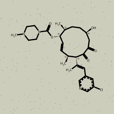 C/C(=C\c1cncc(Cl)c1)[C@H]1C(=O)C(=O)C[C@H](O)CC[C@H](C)[C@@H](OC(=O)N2CCN(C)CC2)/C=C/[C@@H]1C